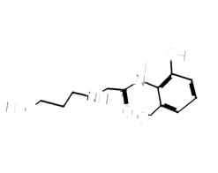 CCCCNCC(=O)Nc1c(C)cccc1Cl